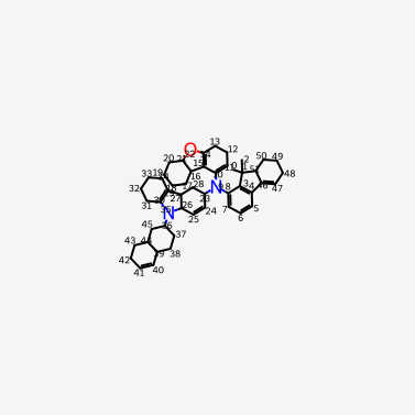 CC1(C)c2c(cccc2N(C2=CCCC3=C2C2CCCCC2O3)C2C=CC3C(C2)C2=C(CCCC2)N3C2CCC3C=CCCC3C2)C2=CCCCC21